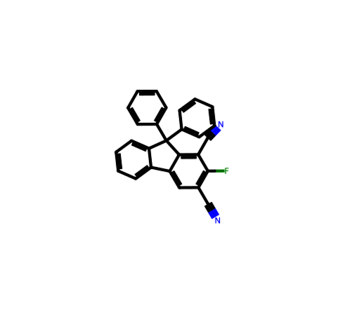 N#Cc1cc2c(c(C#N)c1F)C(c1ccccc1)(c1ccccc1)c1ccccc1-2